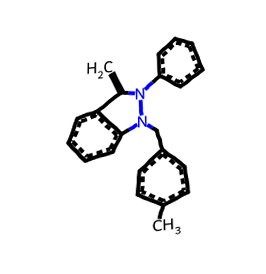 C=C1c2ccccc2N(Cc2ccc(C)cc2)N1c1ccccc1